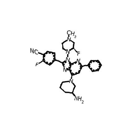 CN1CCN(n2c(-c3ccc(C#N)c(F)c3)nc3c(N4CCCC(N)C4)cc(-c4ccccc4)nc32)[C@H](F)C1